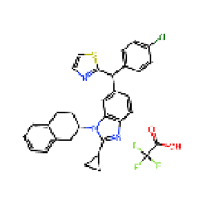 Clc1ccc(C(c2ccc3nc(C4CC4)n(C4CCc5ccccc5C4)c3c2)c2nccs2)cc1.O=C(O)C(F)(F)F